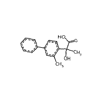 Cc1cc(-c2ccccc2)ccc1C(C)(O)C(=O)O